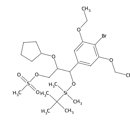 CCOc1cc(C(O[Si](C)(C)C(C)(C)C)C(COS(C)(=O)=O)OC2CCCC2)cc(OCC)c1Br